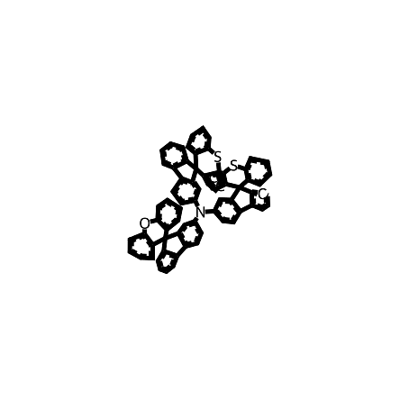 c1ccc2c(c1)Oc1ccccc1C21c2ccccc2-c2ccc(N(c3ccc4c(c3)C3(c5ccccc5Sc5ccccc53)c3ccccc3-4)c3ccc4c(c3)C3(c5ccccc5Sc5ccccc53)c3ccccc3-4)cc21